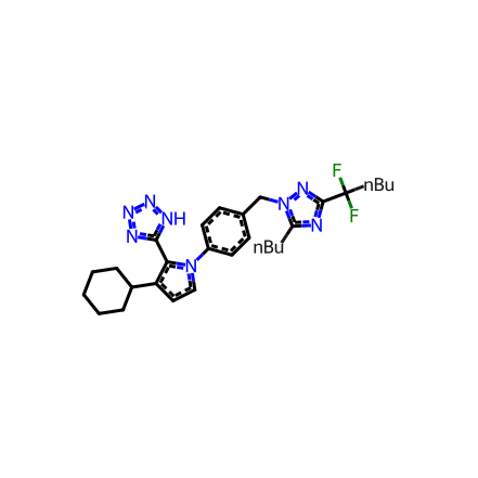 CCCCc1nc(C(F)(F)CCCC)nn1Cc1ccc(-n2ccc(C3CCCCC3)c2-c2nnn[nH]2)cc1